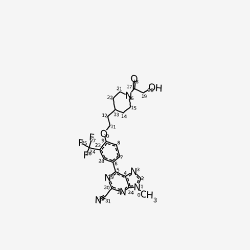 Cn1cnc2c(-c3ccc(OCCC4CCN(C(=O)CO)CC4)c(C(F)(F)F)c3)nc(C#N)nc21